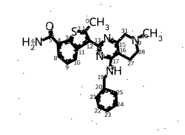 Cc1sc2c(C(N)=O)cccc2c1-c1nc2c(c(NCc3ccccc3)n1)CCN(C)C2